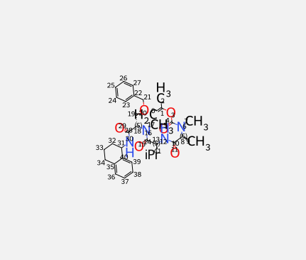 C=C(C)OC(=O)N(C)[C@@H](C)C(=O)N[C@H](C(=O)N(C)[C@@H](COCc1ccccc1)C(=O)NC1CCCc2ccccc21)C(C)C